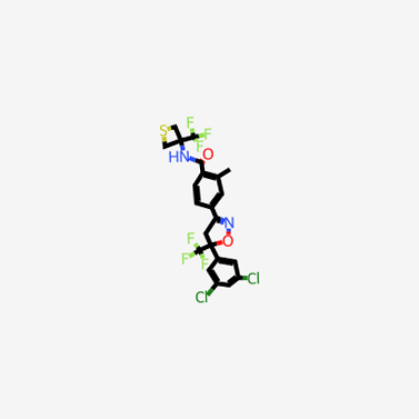 Cc1cc(C2=NOC(c3cc(Cl)cc(Cl)c3)(C(F)(F)F)C2)ccc1C(=O)NC1(C(F)(F)F)CSC1